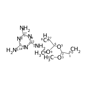 C=CC(OC)OC(C=C)OC.Nc1nc(N)nc(N)n1